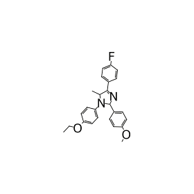 CCOc1ccc(N2C(C)C(c3ccc(F)cc3)=NC2c2ccc(OC)cc2)cc1